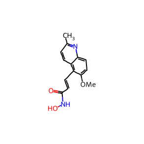 COc1ccc2nc(C)ccc2c1/C=C/C(=O)NO